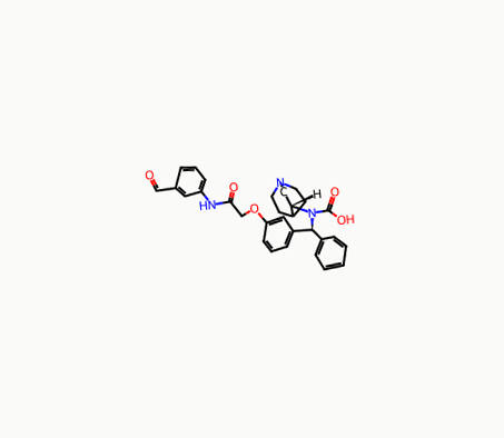 O=Cc1cccc(NC(=O)COc2cccc([C@H](c3ccccc3)N(C(=O)O)[C@H]3CN4CCC3CC4)c2)c1